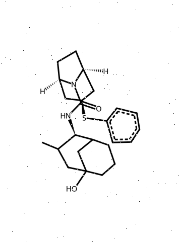 CC1CC2(O)CCCC(C2)[C@@H]1NC(=O)N1[C@@H]2CC[C@H]1C[C@@H](Sc1ccccc1)C2